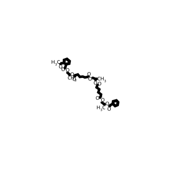 CC(=O)c1ccccc1C(=O)OCC(C)OC(=O)CCCCC(=O)OCC(C)OC(=O)CCCCC(=O)OCC(C)OC(=O)c1ccccc1